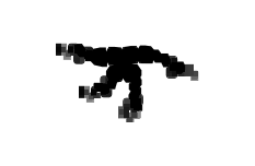 C=CC(=O)OCCCCc1ccc(-c2ccc3c(c2)c(-c2ccc(CCCCOC(=O)C=C)cc2)c(-c2ccc(COC(=O)C=C)cc2)c2cc(-c4ccc(COC(=O)C=C)cc4)ccc23)cc1